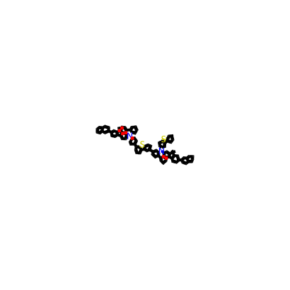 CC1(C)c2cc(-c3ccc4ccccc4c3)ccc2-c2ccc(N(c3ccc(-c4cccc5c4sc4ccc(-c6ccc(-c7ccccc7)c(N(c7ccc8c(c7)C(C)(C)c7cc(-c9ccc%10ccccc%10c9)ccc7-8)c7ccc8sc9ccccc9c8c7)c6)cc45)cc3)c3ccccc3-c3ccccc3)cc21